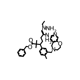 CCN(N)/C=C(\N)CCC(c1ccc(C)c(CN2CCOc3cnccc3C2)c1)C(C)(C)C(=O)OCc1ccccc1